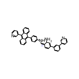 NC1C=C(c2cccc(-c3cccnc3)c2)C=C/C1=C/Nc1ccc(-c2c3ccccc3c(-c3cccnc3)c3ccccc23)cc1